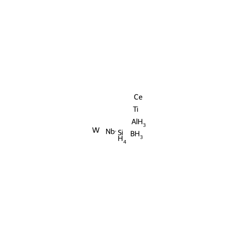 B.[AlH3].[Ce].[Nb].[SiH4].[Ti].[W]